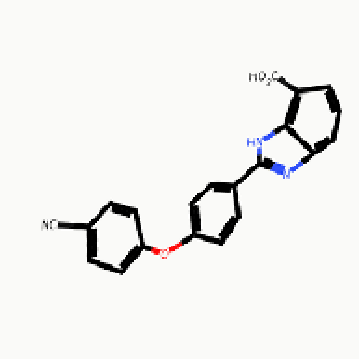 N#Cc1ccc(Oc2ccc(-c3nc4cccc(C(=O)O)c4[nH]3)cc2)cc1